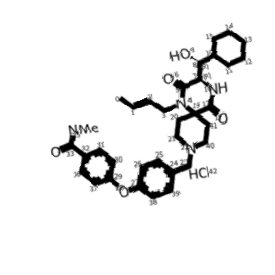 CC=CCN1C(=O)[C@@H]([C@H](O)C2CCCCC2)NC(=O)C12CCN(Cc1ccc(Oc3ccc(C(=O)NC)cc3)cc1)CC2.Cl